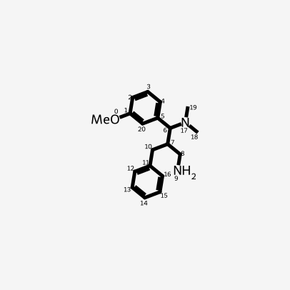 COc1cccc(C(C(CN)Cc2ccccc2)N(C)C)c1